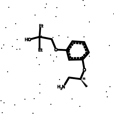 CCC(O)(CC)COc1cccc(O[C@H](C)CN)c1